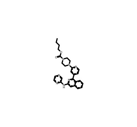 CCCCOC(=O)N1CCN(c2cc(-c3nc(Nc4cnccn4)cc4ccccc34)ccn2)CC1